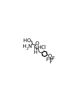 Cl.NC(CO)C(=O)NCCc1ccc(OC(F)(F)F)cc1